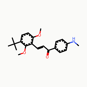 CNc1ccc(C(=O)/C=C/c2c(OC)ccc(C(C)(C)C)c2OC)cc1